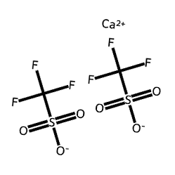 O=S(=O)([O-])C(F)(F)F.O=S(=O)([O-])C(F)(F)F.[Ca+2]